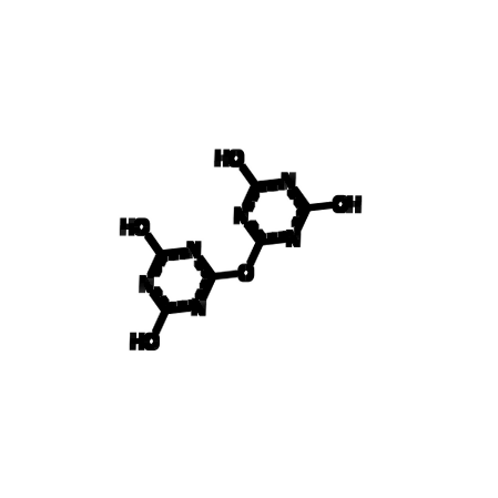 Oc1nc(O)nc(Oc2nc(O)nc(O)n2)n1